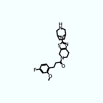 COc1cc(F)ccc1CCC(=O)N1CCc2nc(N3C4CCC3CNC4)sc2C1